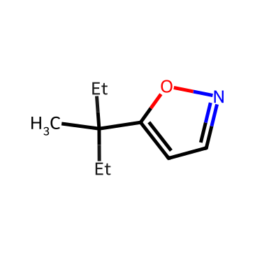 CCC(C)(CC)c1ccno1